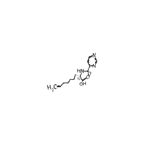 C=CCCCCC[C@H](NC(=O)c1ccncn1)C(=O)O